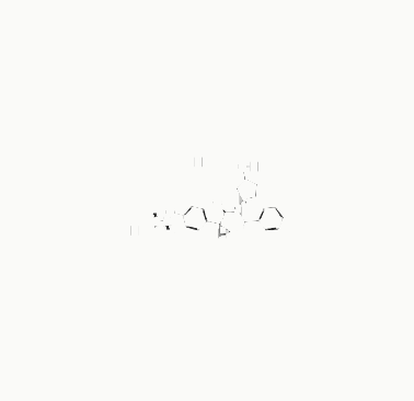 CC(c1ccccc1)N(C(=O)C1(c2ccc(OS(C)(=O)=O)cc2)CC1)N1CCC(O)C1.Cl